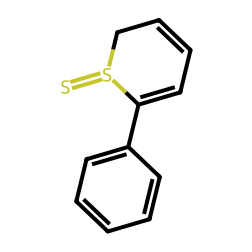 S=S1CC=CC=C1c1ccccc1